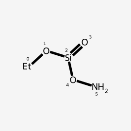 CCO[Si](=O)ON